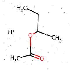 CCC(C)OC(C)=O.[H+]